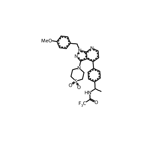 COc1ccc(Cn2nc(N3CCS(=O)(=O)CC3)c3c(-c4ccc(C(C)NC(=O)C(F)(F)F)cc4)ccnc32)cc1